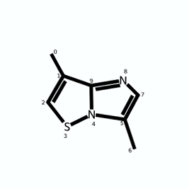 Cc1csn2c(C)cnc12